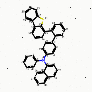 c1ccc(N(c2ccc(-c3ccccc3-c3cccc4c3sc3ccccc34)cc2)c2cccc3ccccc23)cc1